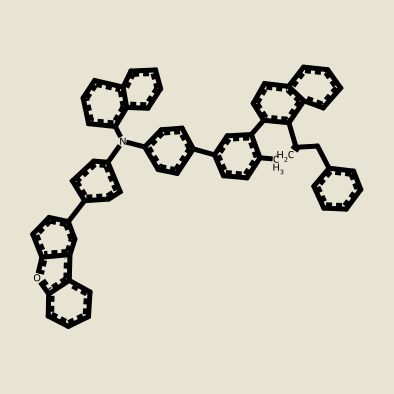 C=C(Cc1ccccc1)c1c(-c2cc(-c3ccc(N(c4ccc(-c5ccc6oc7ccccc7c6c5)cc4)c4cccc5ccccc45)cc3)ccc2C)ccc2ccccc12